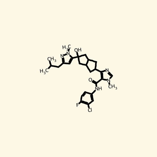 CC(C)Cc1cc(C2(O)CC3CC(c4ncn(C)c4C(=O)Nc4ccc(F)c(Cl)c4)CC3C2)n(C)n1